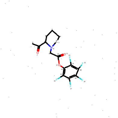 CC(=O)C1CCCCN1CC(=O)Oc1c(F)c(F)c(F)c(F)c1F